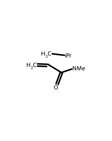 C=CC(=O)NC.CC(C)C